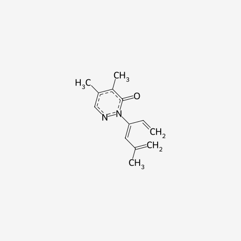 C=C/C(=C\C(=C)C)n1ncc(C)c(C)c1=O